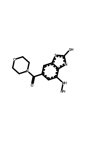 CCCNc1cc(C(=O)N2CCOCC2)cc2sc(S)nc12